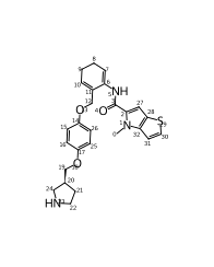 Cn1c(C(=O)NC2=CCCC=C2COc2ccc(OC[C@H]3CCNC3)cc2)cc2sccc21